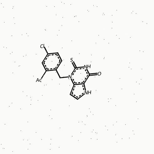 CC(=O)c1cc(Cl)ccc1Cn1c(=S)[nH]c(=O)c2[nH]ccc21